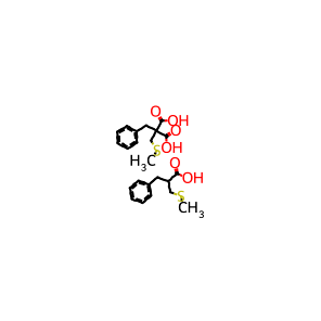 CSCC(Cc1ccccc1)(C(=O)O)C(=O)O.CSCC(Cc1ccccc1)C(=O)O